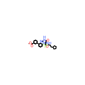 COC(=O)c1cccc(-c2cccc3c2nc2n3C(NC(=O)CCC3CCCC3)(C(F)(F)F)C(=O)N2)c1